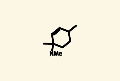 CNC1(C)C=CC(C)CC1